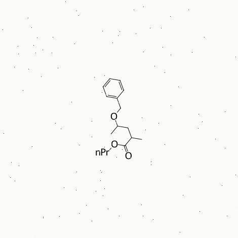 [CH2]CCOC(=O)C(C)CC(C)OCc1ccccc1